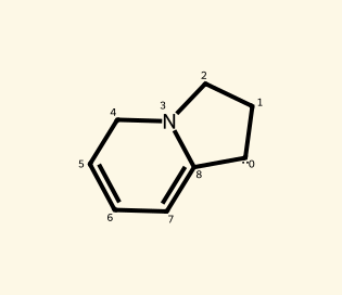 [C]1CCN2CC=CC=C12